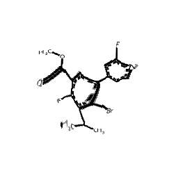 COC(=O)c1cc(-c2ccnc(F)c2)c(Br)c(C(C)C)c1F